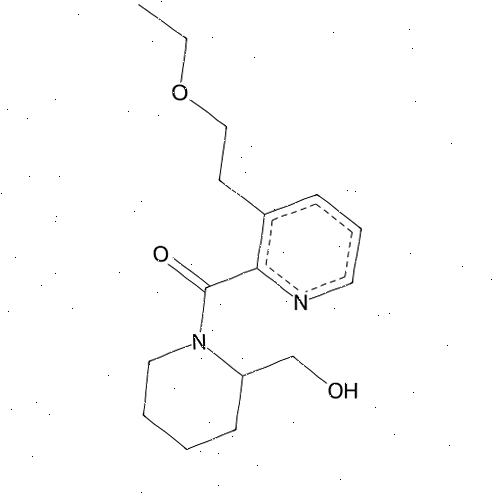 CCOCCc1cccnc1C(=O)N1CCCCC1CO